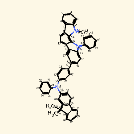 Cn1c2ccccc2c2ccc3c4cc(-c5ccc(N(c6ccccc6)c6ccc7c(c6)C(C)(C)c6ccccc6-7)cc5)ccc4n(-c4ccccc4)c3c21